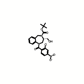 CC(C)(C)OC(=O)N1Cc2ccccc2N(C(=O)c2ccc([N+](=O)[O-])cc2Cl)C[C@H]1CO